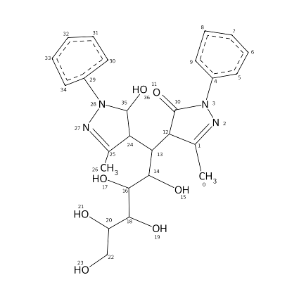 CC1=NN(c2ccccc2)C(=O)C1C(C(O)C(O)C(O)C(O)CO)C1C(C)=NN(c2ccccc2)C1O